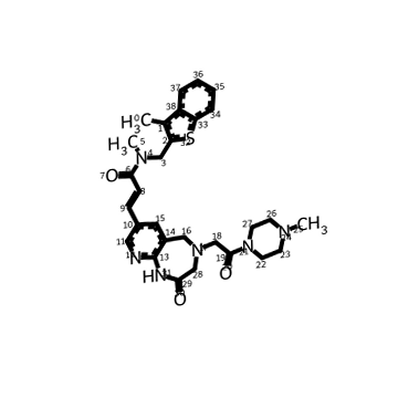 Cc1c(CN(C)C(=O)C=Cc2cnc3c(c2)CN(CC(=O)N2CCN(C)CC2)CC(=O)N3)sc2ccccc12